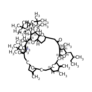 C=C1CC2CCC(=O)/C=C/[C@H](O[Si](C)(C)C(C)(C)C)[C@@H]3O[C@H]4CCC(CC(=O)C[C@@H]5[C@@H](C)[C@@H](C[C@H](C)CC)O[C@H]5CC5C[C@@H](CCC1O2)C[C@@H](C)C5=C)O[C@@H]4[C@H](O[Si](C)(C)C(C)(C)C)[C@@H]3O[Si](C)(C)C(C)(C)C